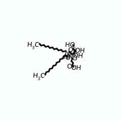 CCCCCCCCCCCCCCN(C(=O)CCCCCCCCCCCCC)[C@@H]1O[C@H](CO)[C@H](O)[C@H](O)[C@@H]1NC(=O)CCC(=O)O